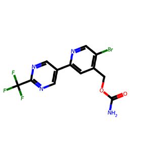 NC(=O)OCc1cc(-c2cnc(C(F)(F)F)nc2)ncc1Br